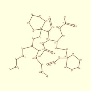 COCOCC(CCC1(C(C=O)C(OC(C)=O)C(CCC2(CC=O)CCCCC2)COC(C)=O)CCCCC1)COCOC